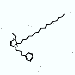 CCCCCCCCCCCCCCCCc1n(CC)cc[n+]1CCCc1ccccc1